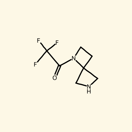 O=C(N1CCC12CNC2)C(F)(F)F